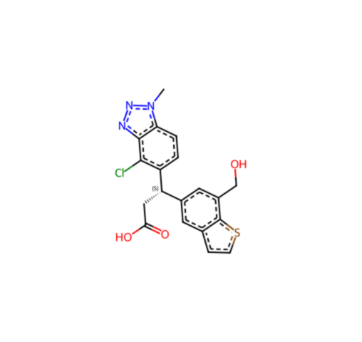 Cn1nnc2c(Cl)c([C@@H](CC(=O)O)c3cc(CO)c4sccc4c3)ccc21